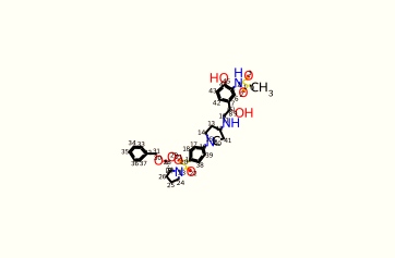 CS(=O)(=O)Nc1cc([C@H](O)CNC2CCN(c3ccc(S(=O)(=O)N4CCC[C@@H]4C(=O)OCc4ccccc4)cc3)CC2)ccc1O